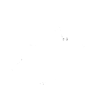 C[S+]([O-])Cc1cc(N)ccc1-c1cnn(C(=O)OC(C)(C)C)c1